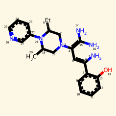 CCC1CN(C(/C=C(\N)c2ccccc2O)=C(N)N)CC(C)N1c1cccnc1